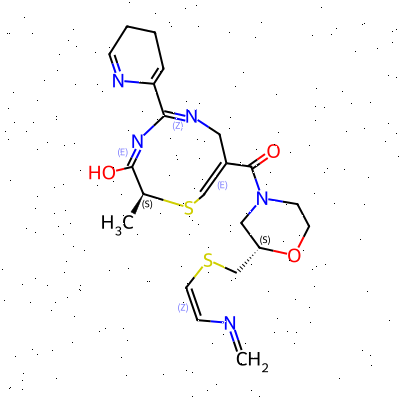 C=N/C=C\SC[C@@H]1CN(C(=O)/C2=C/S[C@@H](C)/C(O)=N\C(C3=CCCC=N3)=N/C2)CCO1